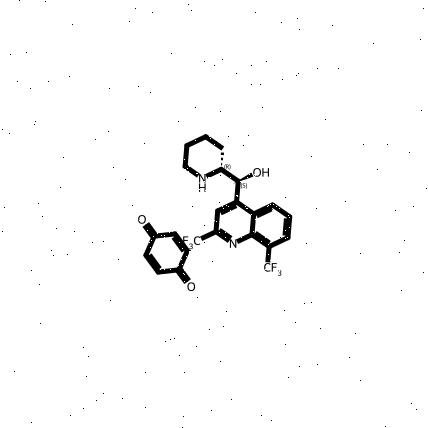 O=C1C=CC(=O)C=C1.O[C@@H](c1cc(C(F)(F)F)nc2c(C(F)(F)F)cccc12)[C@H]1CCCCN1